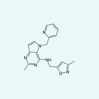 Cc1cc(CNc2nc(C)nc3ccn(Cc4ccccn4)c23)on1